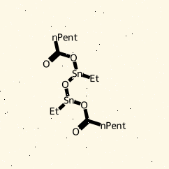 CCCCCC(=O)[O][Sn]([CH2]C)[O][Sn]([CH2]C)[O]C(=O)CCCCC